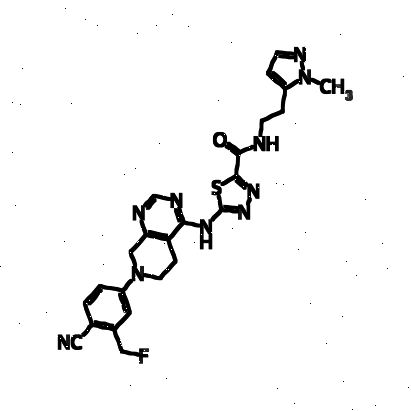 Cn1nccc1CCNC(=O)c1nnc(Nc2ncnc3c2CCN(c2ccc(C#N)c(CF)c2)C3)s1